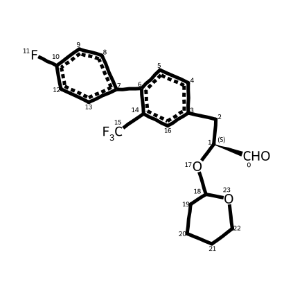 O=C[C@H](Cc1ccc(-c2ccc(F)cc2)c(C(F)(F)F)c1)OC1CCCCO1